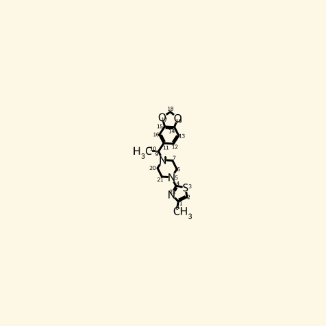 Cc1csc(N2CCN([C@@H](C)c3ccc4c(c3)OCO4)CC2)n1